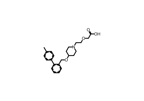 Cc1ccc(-c2ccccc2COC2CCN(CCOCC(=O)O)CC2)cc1